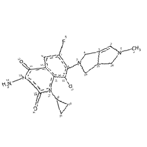 CN1C=C2CN(c3c(F)cc4c(=O)n(N)c(=O)n(C5CC5)c4c3Cl)CC2C1